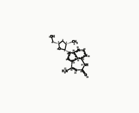 C[C@H]1C[C@@H](CO)O[C@H]1n1cc2c3c(ncnc31)NC(=O)N=C2N